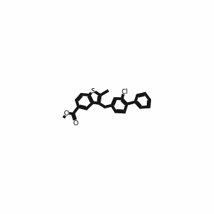 COC(=O)c1ccc2sc(C)c(Cc3ccc(-c4ccccc4)c(Cl)c3)c2c1